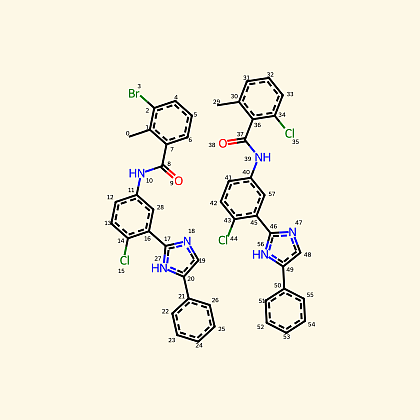 Cc1c(Br)cccc1C(=O)Nc1ccc(Cl)c(-c2ncc(-c3ccccc3)[nH]2)c1.Cc1cccc(Cl)c1C(=O)Nc1ccc(Cl)c(-c2ncc(-c3ccccc3)[nH]2)c1